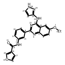 CCOc1ccc2nc(-c3cccc(NC(=O)c4ccoc4)c3)nc(Nc3cc[nH]n3)c2c1